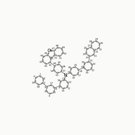 c1ccc(-c2cccc(-c3cccc(N(c4ccc(-c5cccc(-c6ccc7ccccc7c6)c5)cc4)c4ccc(-c5cccc6oc7ccccc7c56)cc4)c3)c2)cc1